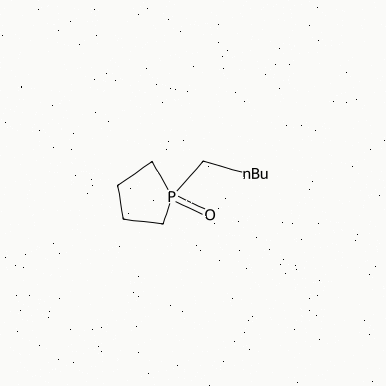 CCCCCP1(=O)CCCC1